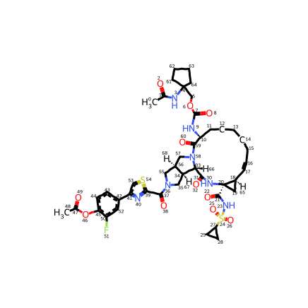 CC(=O)NC1(COC(=O)N[C@H]2CCCCC/C=C\[C@H]3C[C@@]3(C(=O)NS(=O)(=O)C3CC3)NC(=O)[C@@H]3[C@H]4CN(C(=O)c5nc(-c6ccc(OC(C)=O)c(F)c6)cs5)C[C@H]4CN3C2=O)CCCC1